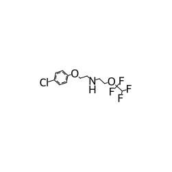 FC(F)C(F)(F)OCCNCCOc1ccc(Cl)cc1